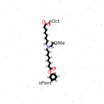 CCCCCCCCOC(=O)CCCCCCCN(CCCCCCCC(=O)Oc1cccc(CCCCC)c1)CCOC